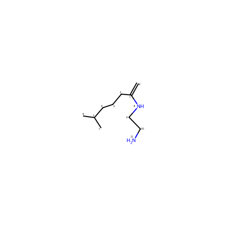 C=C(CCCC(C)C)NCCN